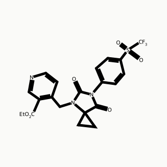 CCOC(=O)c1cnccc1CN1C(=O)N(c2ccc(S(=O)(=O)C(F)(F)F)cc2)C(=O)C12CC2